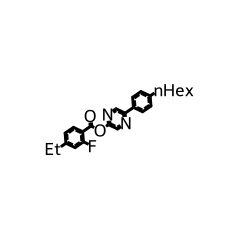 CCCCCCc1ccc(-c2cnc(OC(=O)c3ccc(CC)cc3F)cn2)cc1